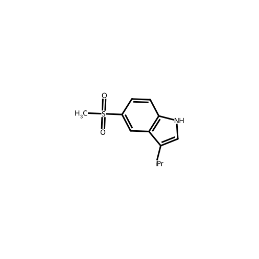 CC(C)c1c[nH]c2ccc(S(C)(=O)=O)cc12